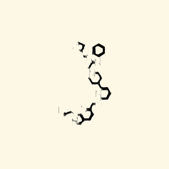 FC(F)Cn1ncc2ccc(COc3cccc(C4CCN(Cc5nc6ccccc6n5C[C@@H]5CCO5)CC4)n3)nc21